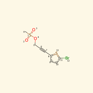 CS(=O)(=O)OCC#Cc1ccc(Br)s1